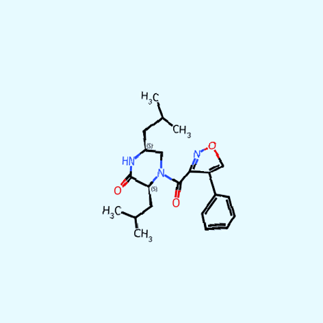 CC(C)C[C@H]1CN(C(=O)c2nocc2-c2ccccc2)[C@@H](CC(C)C)C(=O)N1